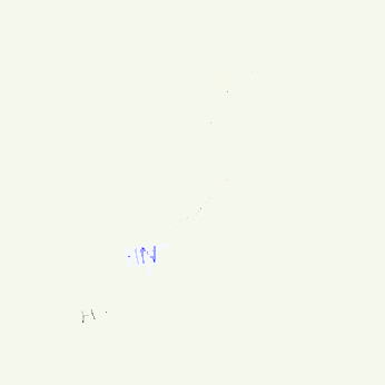 C=CCCNCC=CCOc1ccc(C(=O)c2ccccc2)cc1